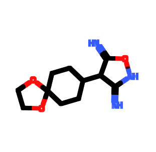 N=C1NOC(=N)C1C1CCC2(CC1)OCCO2